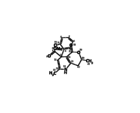 COC(=O)C1(c2ccccc2Cl)C=C(C)NC2=C1C(=O)OC(C)C2